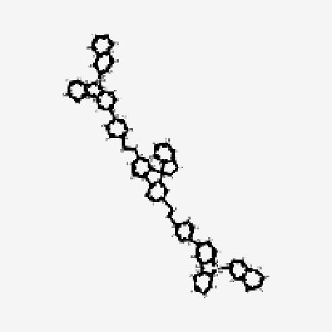 C(=C\c1ccc2c(c1)C1(CCc3ccccc31)c1cc(/C=C/c3ccc(-c4ccc5c(c4)c4ccccc4n5-c4ccc5ccccc5c4)cc3)ccc1-2)/c1ccc(-c2ccc3c(c2)c2ccccc2n3-c2ccc3ccccc3c2)cc1